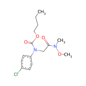 CCCCOC(=O)N(CC(=O)N(C)OC)c1ccc(Cl)cc1